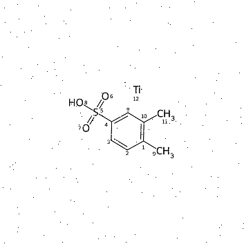 Cc1ccc(S(=O)(=O)O)cc1C.[Tl]